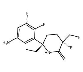 C=C1N[C@](CC)(c2cc(N)cc(F)c2F)CC[C@@]1(F)CF